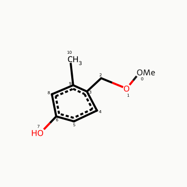 COOCc1ccc(O)cc1C